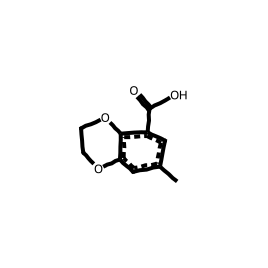 Cc1cc2c(c(C(=O)O)c1)OCCO2